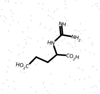 N=C(N)NC(CCC(=O)O)C(=O)O